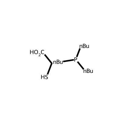 CCCCP(CCCC)CCCC.O=C(O)CS